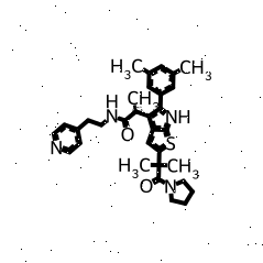 Cc1cc(C)cc(-c2[nH]c3sc(C(C)(C)C(=O)N4CCCC4)cc3c2[C@H](C)C(=O)NCCc2ccncc2)c1